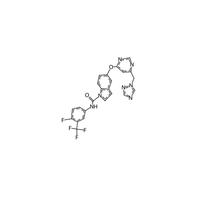 O=C(Nc1ccc(F)c(C(F)(F)F)c1)n1ccc2cc(Oc3cc(Cn4cncn4)ncn3)ccc21